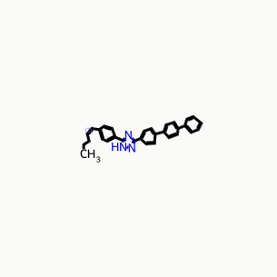 CCC/C=C\c1ccc(-c2nc(-c3ccc(-c4ccc(-c5ccccc5)cc4)cc3)n[nH]2)cc1